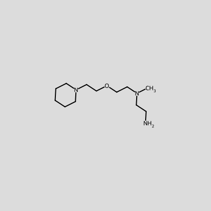 CN(CCN)CCOCCN1CCCCC1